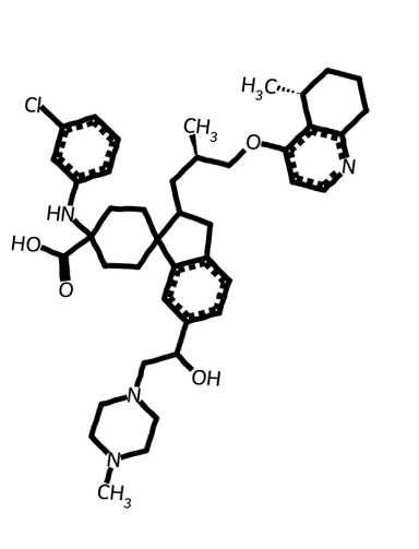 C[C@@H](COc1ccnc2c1[C@H](C)CCC2)CC1Cc2ccc(C(O)CN3CCN(C)CC3)cc2C12CCC(Nc1cccc(Cl)c1)(C(=O)O)CC2